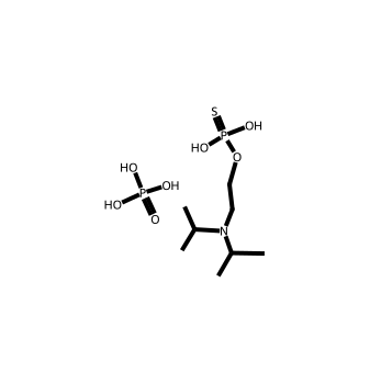 CC(C)N(CCOP(O)(O)=S)C(C)C.O=P(O)(O)O